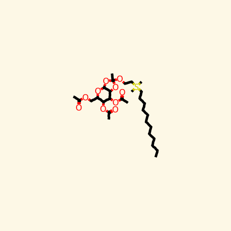 CCCCCCCCCCCCS(C)(C)CCOC1(C)OC2OC(COC(C)=O)C(OC(C)=O)C(OC(C)=O)C2O1